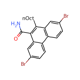 CCCCCCCCc1c(C(N)=O)c2cc(Br)ccc2c2ccc(Br)cc12